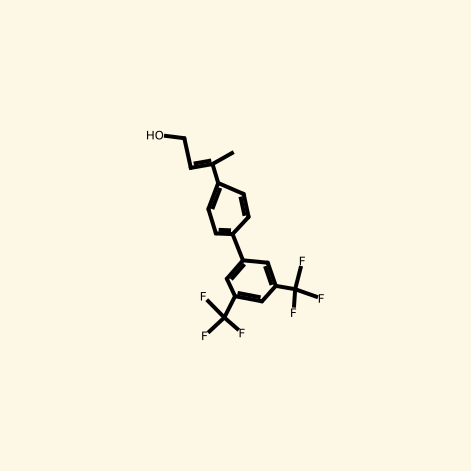 CC(=CCO)c1ccc(-c2cc(C(F)(F)F)cc(C(F)(F)F)c2)cc1